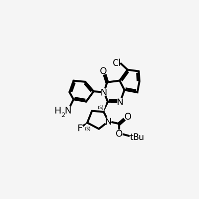 CC(C)(C)OC(=O)N1C[C@@H](F)C[C@H]1c1nc2cccc(Cl)c2c(=O)n1-c1cccc(N)c1